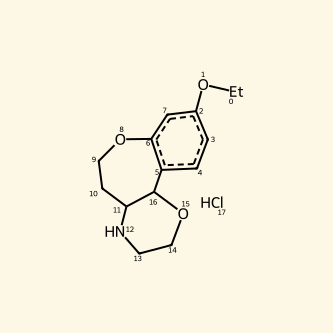 CCOc1ccc2c(c1)OCCC1NCCOC21.Cl